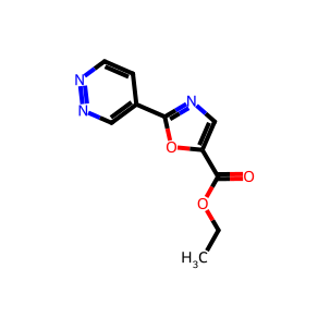 CCOC(=O)c1cnc(-c2ccnnc2)o1